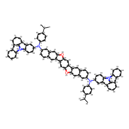 CC(C)c1ccc(N(c2ccc3cc4c(cc3c2)oc2cc3c(cc24)oc2cc4cc(N(c5ccc(C(C)C)cc5)c5ccc6c(c5)c5cccc7c8ccccc8n6c75)ccc4cc23)c2ccc3c(c2)c2cccc4c5ccccc5n3c42)cc1